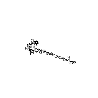 C=NOCC(=O)NCCOCCOCCOCCOCCOCCNC(=O)CN1CCN(c2cc(Nc3ncc(C(=O)Nc4c(C)cccc4Cl)s3)nc(C)n2)CC1